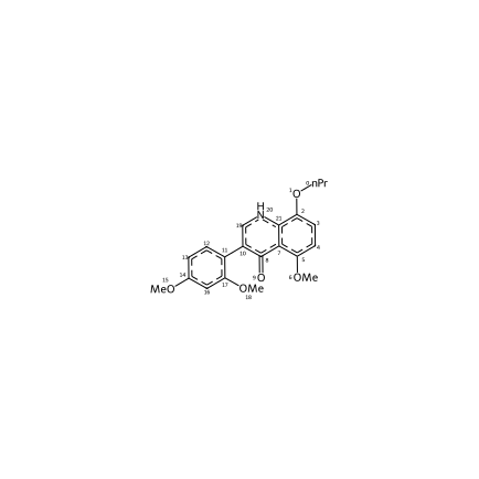 CCCOc1ccc(OC)c2c(=O)c(-c3ccc(OC)cc3OC)c[nH]c12